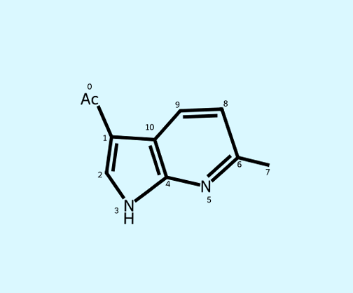 CC(=O)c1c[nH]c2nc(C)ccc12